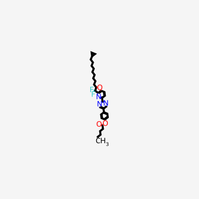 CCCCCC(=O)Oc1ccc(-c2cnc(-c3ccc4c(n3)C(F)(F)C(CCCCCCCCCC3CC3)O4)nc2)cc1